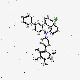 [2H]c1c([2H])c([2H])c(-c2ccc(N(c3ccc(-c4ccccc4)cc3)c3cccc4c(Br)cccc34)cc2)c([2H])c1[2H]